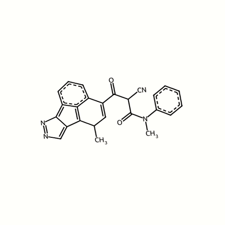 CC1C=C(C(=O)C(C#N)C(=O)N(C)c2ccccc2)c2cccc3c2=C1C1=CN=NC=31